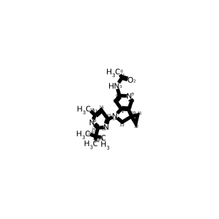 CC(=O)Nc1cc2c(cn1)C1(CC1)CN2c1cc(C)nc(C(C)(C)C)n1